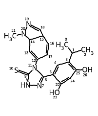 CC(C)c1cc(-c2n[nH]c(=S)n2C2=CC3C(C=C2)C=NN3C)c(O)cc1O